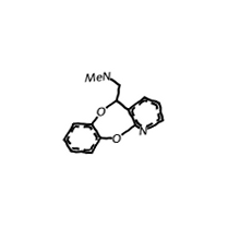 CNCC1Oc2ccccc2Oc2ncccc21